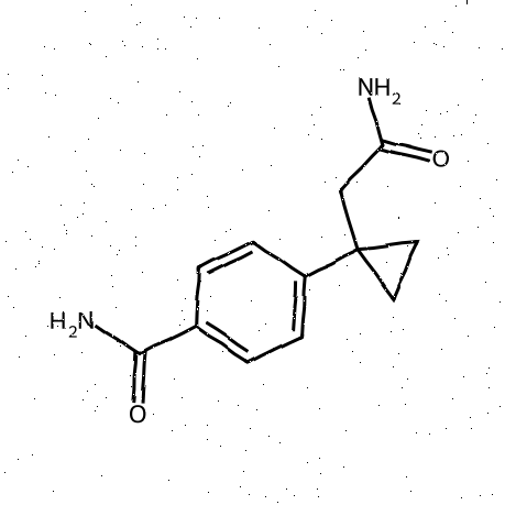 NC(=O)CC1(c2ccc(C(N)=O)cc2)CC1